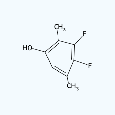 Cc1cc(O)c(C)c(F)c1F